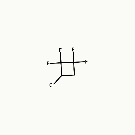 FC1(F)[CH]C(Cl)C1(F)F